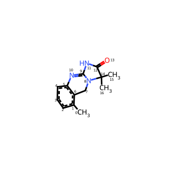 Cc1cccc2c1CN1C(=N2)NC(=O)C1(C)C